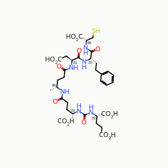 C[C@H](CCC(=O)N[C@@H](CC(=O)O)C(=O)N[C@@H](CCc1ccccc1)C(=O)N[C@@H](CS)C(=O)O)NC(=O)CC[C@H](NC(=O)N[C@@H](CCC(=O)O)C(=O)O)C(=O)O